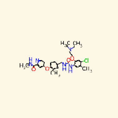 CCN(CC)CCOc1cc(Cl)c(C)cc1NC(=O)NCc1ccc(Oc2ccnc(C(=O)NC)c2)c(C)c1